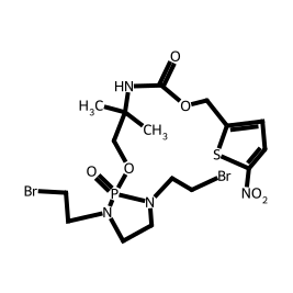 CC(C)(COP1(=O)N(CCBr)CCN1CCBr)NC(=O)OCc1ccc([N+](=O)[O-])s1